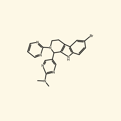 CN(C)c1ncc(C2c3[nH]c4ccc(Br)cc4c3CCN2c2ncccn2)cn1